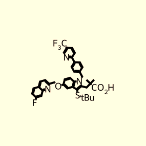 CC(C)(C)Sc1c(CC(C)(C)C(=O)O)n(Cc2ccc(-c3ccc(C(F)(F)F)cn3)cc2)c2ccc(OCc3ccc4ccc(F)cc4n3)cc12